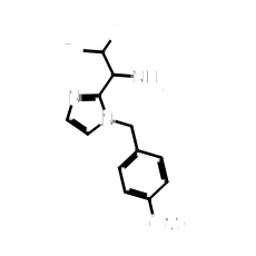 CCC(CC)C(N)c1nccn1Cc1ccc(OC)cc1